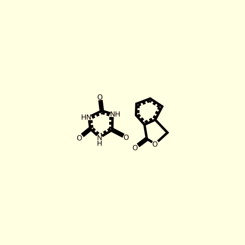 O=C1OCc2ccccc21.O=c1[nH]c(=O)[nH]c(=O)[nH]1